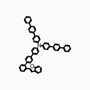 c1ccc(-c2ccc(-c3ccc(N(c4ccc(-c5ccc(-c6ccccc6)cc5)cc4)c4ccc(-c5ccc(-c6ccccc6-c6cc7ccccc7o6)cc5)cc4)cc3)cc2)cc1